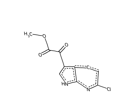 COC(=O)C(=O)c1c[nH]c2nc(Cl)ccc12